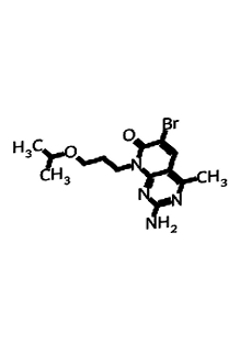 Cc1nc(N)nc2c1cc(Br)c(=O)n2CCCOC(C)C